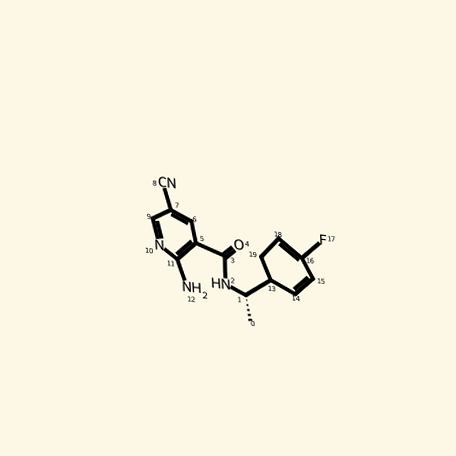 C[C@H](NC(=O)c1cc(C#N)cnc1N)C1C=CC(F)=CC1